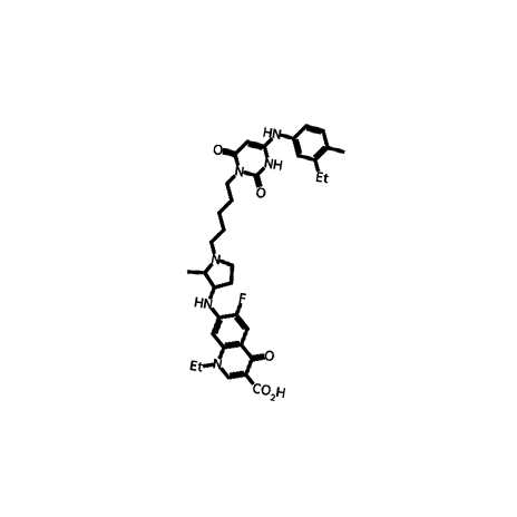 CCc1cc(Nc2cc(=O)n(CCCCCN3CCC(Nc4cc5c(cc4F)c(=O)c(C(=O)O)cn5CC)C3C)c(=O)[nH]2)ccc1C